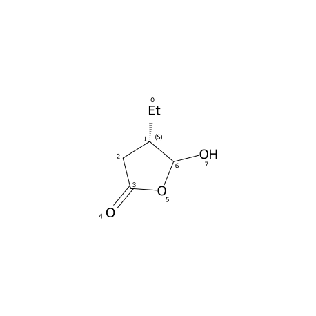 CC[C@H]1CC(=O)OC1O